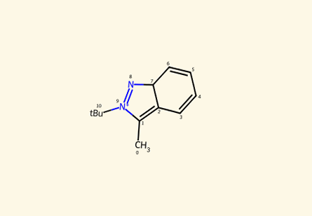 CC1=C2C=CC=CC2N=[N+]1C(C)(C)C